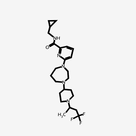 CC(CC(F)(F)F)N1CCC(N2CCCN(c3cccc(C(=O)NCC4CC4)n3)CC2)CC1